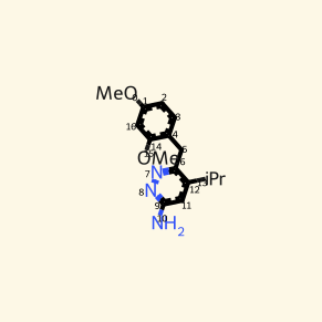 COc1ccc(Cc2nnc(N)cc2C(C)C)c(OC)c1